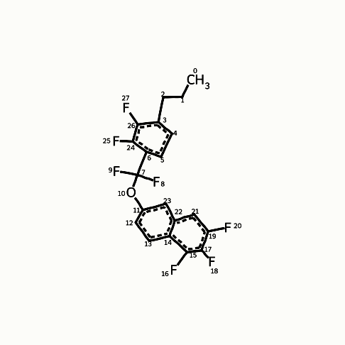 CCCc1ccc(C(F)(F)Oc2ccc3c(F)c(F)c(F)cc3c2)c(F)c1F